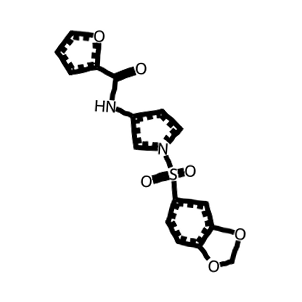 O=C(Nc1ccn(S(=O)(=O)c2ccc3c(c2)OCO3)c1)c1ccco1